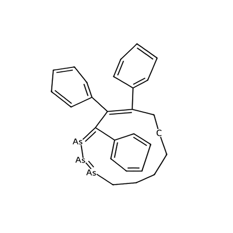 c1ccc(C2=[As]\[As]=[As]/CCCCCC/C(c3ccccc3)=C\2c2ccccc2)cc1